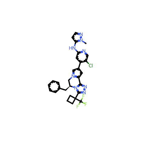 Cn1nccc1Nc1cc(-c2cc3n(c2)C[C@H](Cc2ccccc2)n2c-3nnc2C2(C(F)(F)F)CCC2)c(Cl)cn1